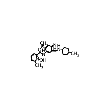 COC1=CC(=N)/C(=C\N[C@H]2CC[C@H](C)CC2)C=C1NC(=O)c1cccc(C)[n+]1O